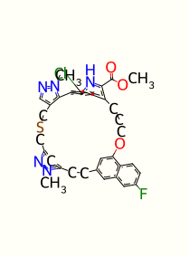 COC(=O)c1[nH]c2c3c(Cl)ccc2c1CCCOc1cc(cc2cc(F)ccc12)CCc1cc(nn1C)CSCc1cnn(C)c1-3